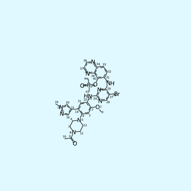 COc1cc(N2CCN(C(C)=O)CC2)c(-c2cnn(C)c2)cc1Nc1ncc(Br)c(Nc2ccc3nccnc3c2OP(C)(C)=O)n1